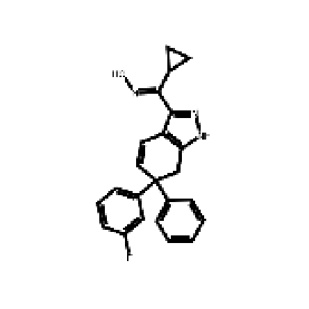 ON=C(c1n[nH]c2c1C=CC(c1ccccc1)(c1cccc(F)c1)C2)C1CC1